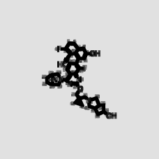 C#Cc1c(F)ccc2cc(O)cc(-c3ccc4c(N5CC6CCC(C5)N6)nc(OCC5(CN6CC7CC(O)CC7C6)CC5)nc4c3F)c12